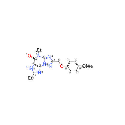 CCc1nc2c([nH]1)c(=O)n(CC)c1nc(COc3ccc(OC)cc3)nn21